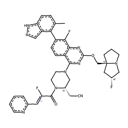 Cc1ccc2[nH]ncc2c1-c1ccc2c(N3CCN(C(=O)/C(F)=C/c4ccccn4)[C@@H](CC#N)C3)nc(OC[C@@]34CCCN3C[C@H](F)C4)nc2c1F